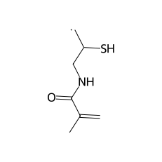 [CH2]C(S)CNC(=O)C(=C)C